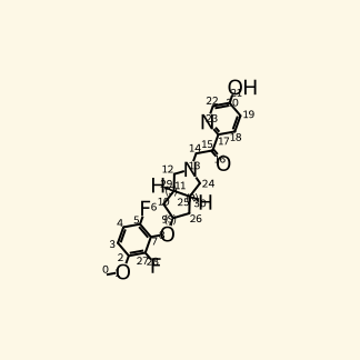 COc1ccc(F)c(O[C@H]2C[C@@H]3CN(CC(=O)c4ccc(O)cn4)C[C@@H]3C2)c1F